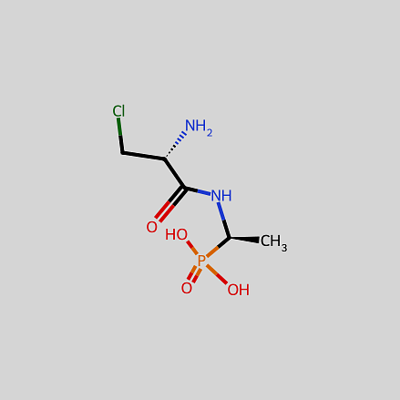 C[C@H](NC(=O)[C@@H](N)CCl)P(=O)(O)O